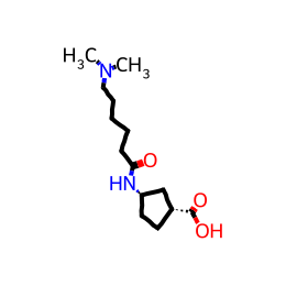 CN(C)CCCCCC(=O)N[C@H]1CC[C@@H](C(=O)O)C1